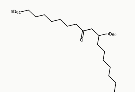 CCCCCCCCCCCCCCCCCC(=O)CC(CCCCCCCCCC)CCCCCCCC(C)=O